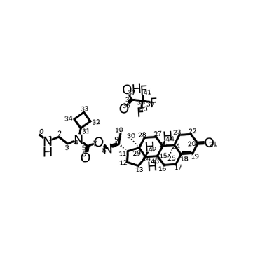 CNCCN(C(=O)O/N=C(\C)[C@H]1CC[C@H]2[C@@H]3CCC4=CC(=O)CC[C@]4(C)[C@H]3CC[C@]12C)C1CCC1.O=C(O)C(F)(F)F